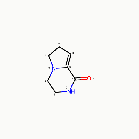 O=C1NCCN2CCC=C12